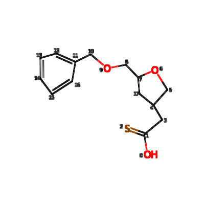 OC(=S)CC1COC(COCc2ccccc2)C1